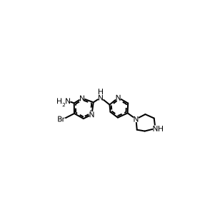 Nc1nc(Nc2ccc(N3CCNCC3)cn2)ncc1Br